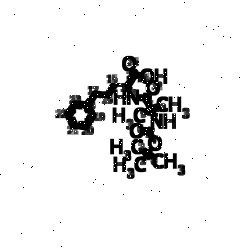 CC(C)(C)OC(=O)NC(C)(C)C(=O)N[C@H](CCCc1ccccc1)C(=O)O